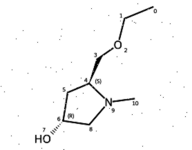 CCOC[C@@H]1C[C@@H](O)CN1C